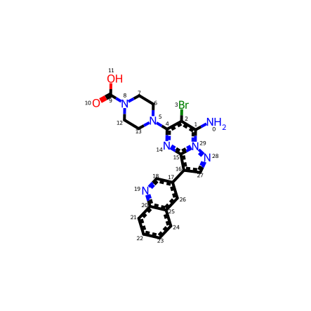 Nc1c(Br)c(N2CCN(C(=O)O)CC2)nc2c(-c3cnc4ccccc4c3)cnn12